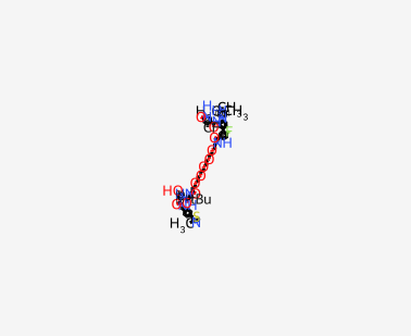 Cc1ncsc1-c1ccc(CNC(=O)[C@@H]2C[C@@H](O)CN2C(=O)[C@@H](NC(=O)CCOCCOCCOCCOCCOCCNC(=O)c2ccc(F)c(-c3ccc(N4C[C@@H](C)N(C)[C@@H](C)C4)c(NC(=O)c4c[nH]c(=O)cc4C(F)(F)F)c3)c2)C(C)(C)C)cc1